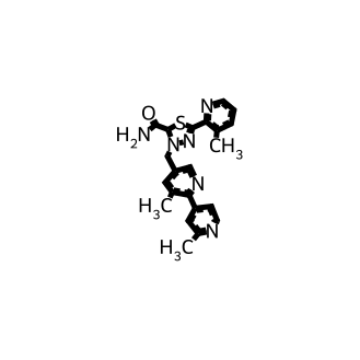 Cc1cc(-c2ncc(CN3N=C(c4ncccc4C)SC3C(N)=O)cc2C)ccn1